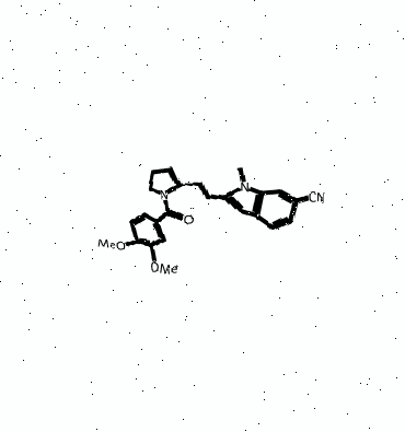 COc1ccc(C(=O)N2CCC[C@H]2CCc2cc3ccc(C#N)cc3n2C)cc1OC